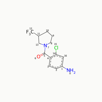 Nc1ccc(C(=O)N2CCCC(C(F)(F)F)C2)c(Cl)c1